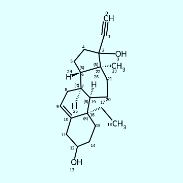 C#CC1(O)CC[C@H]2[C@@H]3CC=C4CC(O)CC[C@]4(CC)[C@@H]3CC[C@@]21C